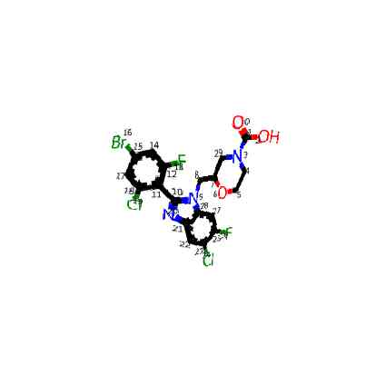 O=C(O)N1CCOC(Cn2c(-c3c(F)cc(Br)cc3Cl)nc3cc(Cl)c(F)cc32)C1